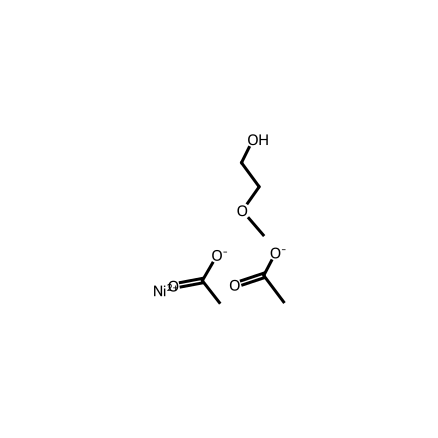 CC(=O)[O-].CC(=O)[O-].COCCO.[Ni+2]